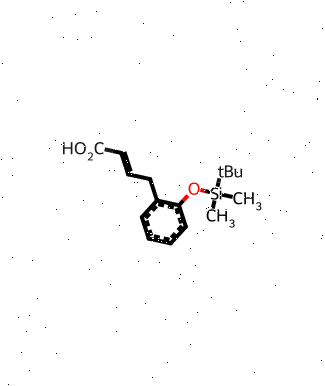 CC(C)(C)[Si](C)(C)Oc1ccccc1CC=CC(=O)O